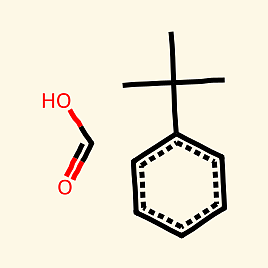 CC(C)(C)c1ccccc1.O=CO